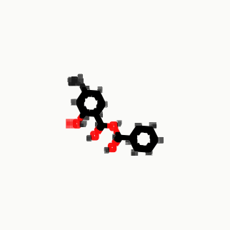 CC(C)(C)c1ccc(C(=O)OC(=O)c2ccccc2)c(O)c1